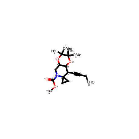 COC1(C)OC2CN(C(=O)OC(C)(C)C)C3(CC3)C(C#CCC=O)C2OC1(C)OC